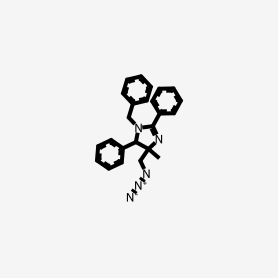 CC1(CN=[N+]=[N-])N=C(c2ccccc2)N(Cc2ccccc2)C1c1ccccc1